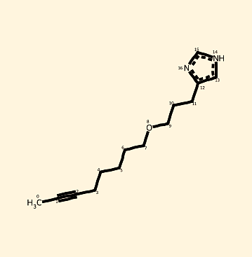 CC#CCCCCCOCCCc1c[nH]cn1